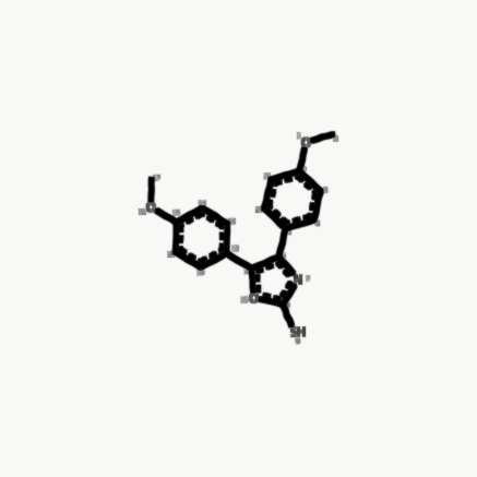 COc1ccc(-c2nc(S)oc2-c2ccc(OC)cc2)cc1